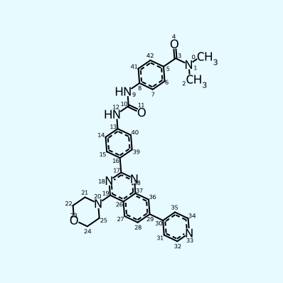 CN(C)C(=O)c1ccc(NC(=O)Nc2ccc(-c3nc(N4CCOCC4)c4ccc(-c5ccncc5)cc4n3)cc2)cc1